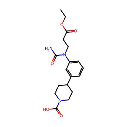 CCOC(=O)CCN(C(N)=O)c1cccc(C2CCN(C(=O)O)CC2)c1